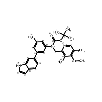 COc1c(C)cnc(CN(C(=O)OC(C)(C)C)c2cc(C)cc(-c3ccc4cc[nH]c4c3)c2)c1C